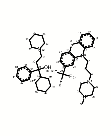 CN1CCN(CCCN2c3ccccc3Sc3ccc(C(F)(F)F)cc32)CC1.OC(CCN1CCCCC1)(c1ccccc1)C1CCCCC1